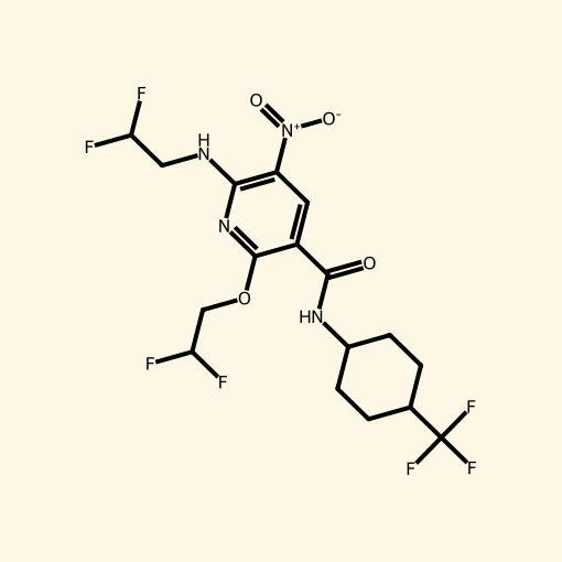 O=C(NC1CCC(C(F)(F)F)CC1)c1cc([N+](=O)[O-])c(NCC(F)F)nc1OCC(F)F